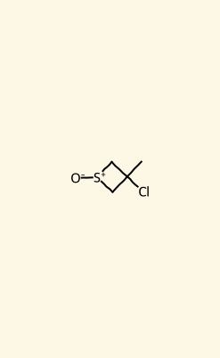 CC1(Cl)C[S+]([O-])C1